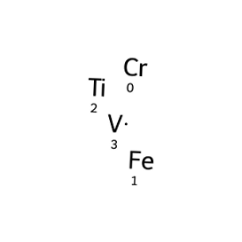 [Cr].[Fe].[Ti].[V]